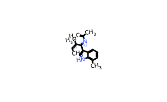 C=C(C)/N=C(\C(C)=C/C)c1c[nH]c2c(C)cccc12